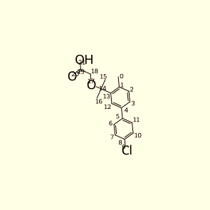 Cc1ccc(-c2ccc(Cl)cc2)cc1C(C)(C)OCC(=O)O